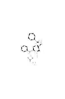 COC1CN(C(c2ccccc2)c2cn3c(-c4ccccc4)ncc3c(=O)[nH]2)C1